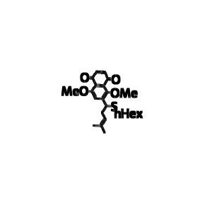 CCCCCCSC(CC=C(C)C)c1cc(OC)c2c(c1OC)C(=O)C=CC2=O